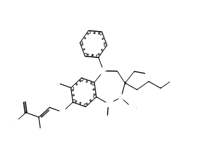 CCCCC1(CC)CN(c2ccccc2)c2cc(Br)c(O/C=C(\F)C(=O)O)cc2[S+]([O-])N1C